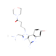 CCN(Cc1nc2c(N)nc3cc(Br)ccc3c2n1CCCC(=O)N1CCOCC1)C(C)=O